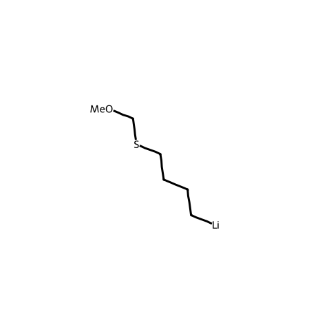 [Li][CH2]CCCSCOC